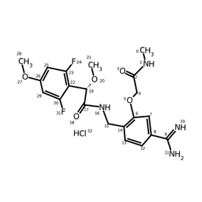 CNC(=O)COc1cc(C(=N)N)ccc1CNC(=O)[C@@H](OC)c1c(F)cc(OC)cc1F.Cl